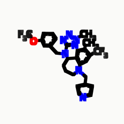 Cc1cc2c(cc1C(F)(F)F)N(Cc1ccncc1)CCCC2N(Cc1cccc(OC(F)(F)F)c1)c1nnn(C)n1